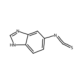 S=C=Nc1ccc2[nH]cnc2c1